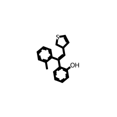 Cc1ccccc1C(=CC1C=CSC1)c1ccccc1O